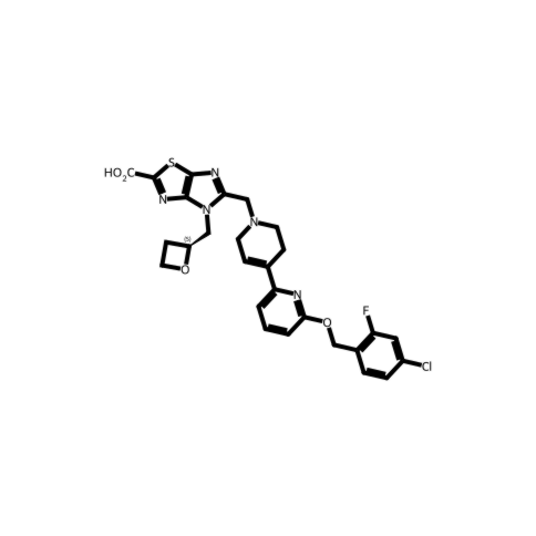 O=C(O)c1nc2c(nc(CN3CC=C(c4cccc(OCc5ccc(Cl)cc5F)n4)CC3)n2C[C@@H]2CCO2)s1